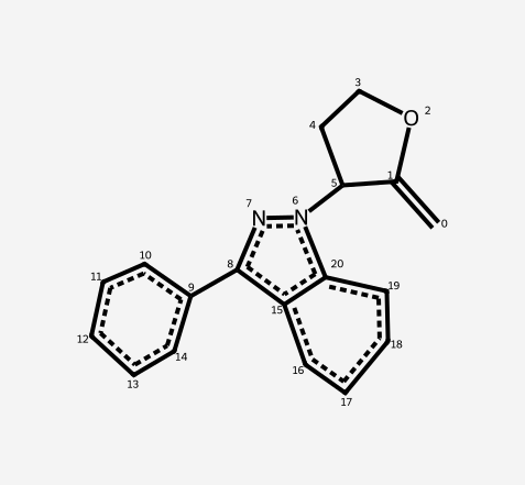 C=C1OCCC1n1nc(-c2ccccc2)c2ccccc21